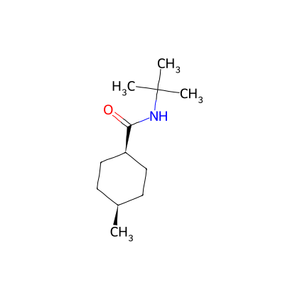 CC(C)(C)NC(=O)[C@H]1CC[C@@H](C)CC1